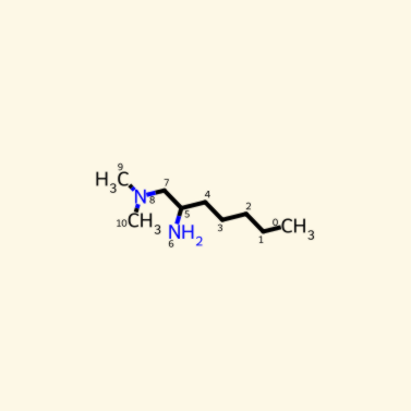 CCCCCC(N)CN(C)C